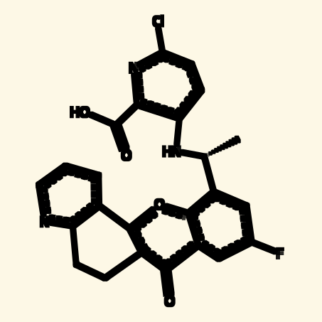 C[C@@H](Nc1ccc(Cl)nc1C(=O)O)c1cc(F)cc2c(=O)c3c(oc12)-c1cccnc1CC3